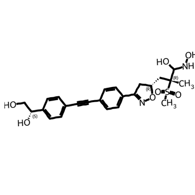 C[C@@](C[C@H]1CC(c2ccc(C#Cc3ccc([C@H](O)CO)cc3)cc2)=NO1)(C(O)NO)S(C)(=O)=O